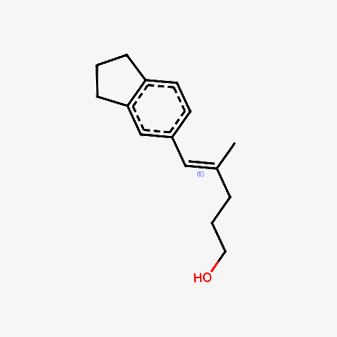 C/C(=C\c1ccc2c(c1)CCC2)CCCO